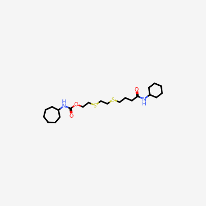 O=C(CCCSCCSCCOC(=O)NC1CCCCCC1)NC1CCCCC1